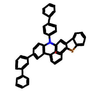 c1ccc(-c2ccc(N(c3ccc4sc5ccccc5c4c3)c3ccc(-c4cccc(-c5ccccc5)c4)cc3-c3ccccc3)cc2)cc1